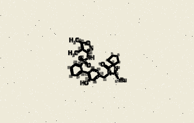 CCCCC1=NC2(CCCC2)C(=O)N1Cc1ccc(-c2ccccc2S(=O)(=O)Nc2noc(C)c2C)c(O)c1